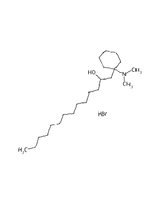 Br.CCCCCCCCCCCCC(O)CC1(N(C)C)CCCCC1